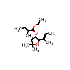 CC=C(C)C1CCC(C)(C)O1.CCOC(=O)C(C)CC